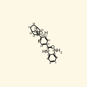 Nc1ccccc1NC(=O)c1ccc(N2CC3CCC(C2)N3C(=O)O)nc1